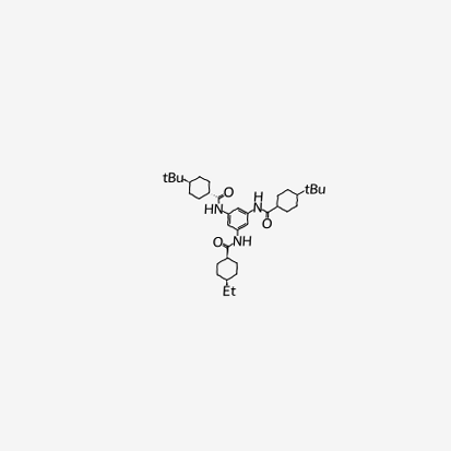 CC[C@H]1CC[C@@H](C(=O)Nc2cc(NC(=O)C3CCC(C(C)(C)C)CC3)cc(NC(=O)[C@H]3CC[C@H](C(C)(C)C)CC3)c2)CC1